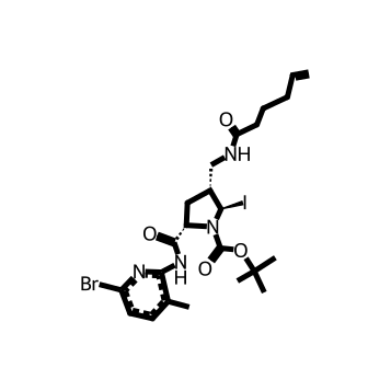 C=CCCCC(=O)NC[C@H]1C[C@@H](C(=O)Nc2nc(Br)ccc2C)N(C(=O)OC(C)(C)C)[C@@H]1I